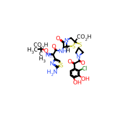 CC(C)(O/N=C(\C(=O)NC1C(=O)N2CC(SC3CN(C(=O)C(=O)c4ccc(O)c(O)c4Cl)C3)(C(=O)O)S[C@H]12)c1csc(N)n1)C(=O)O